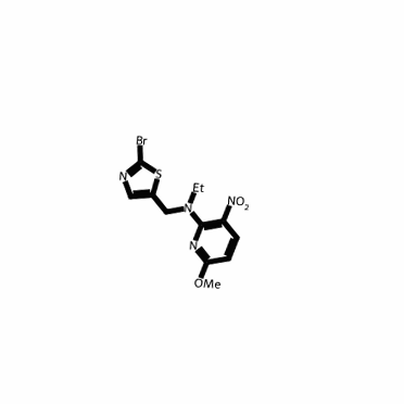 CCN(Cc1cnc(Br)s1)c1nc(OC)ccc1[N+](=O)[O-]